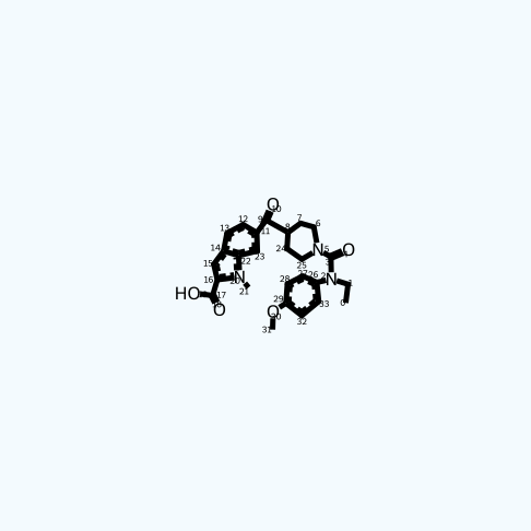 CCN(C(=O)N1CCC(C(=O)c2ccc3cc(C(=O)O)n(C)c3c2)CC1)c1ccc(OC)cc1